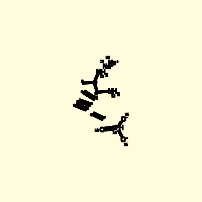 C=C.C=C.C=C.C=C.CC(N)CN.O=[PH]([O-])[O-].[Na+].[Na+]